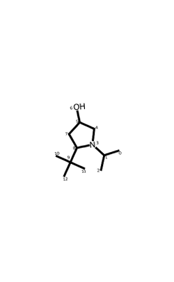 CC(C)N1CC(O)CC1C(C)(C)C